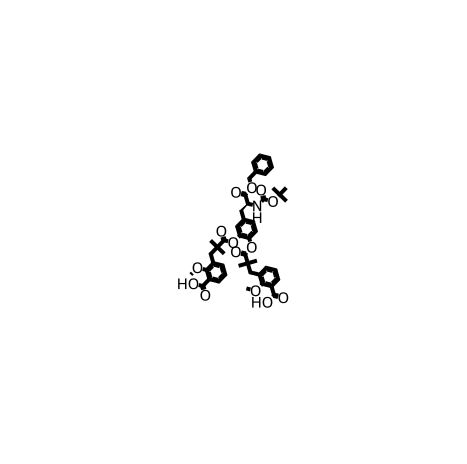 COc1c(CC(C)(C)C(=O)Oc2ccc(C[C@H](NC(=O)OC(C)(C)C)C(=O)OCc3ccccc3)cc2OC(=O)C(C)(C)Cc2cccc(C(=O)O)c2OC)cccc1C(=O)O